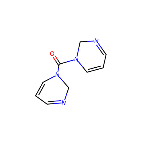 O=C(N1C=CC=NC1)N1C=CC=NC1